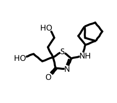 O=C1N=C(NC2CC3CCC2C3)SC1(CCO)CCO